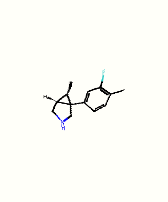 Cc1ccc(C23CNC[C@@H]2[C@H]3C)cc1F